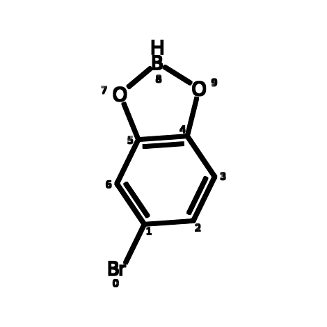 Brc1ccc2c(c1)OBO2